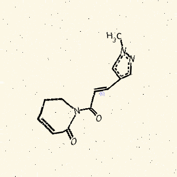 Cn1cc(/C=C/C(=O)N2CCC=CC2=O)cn1